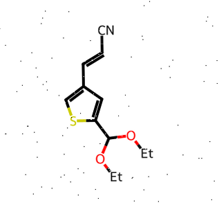 CCOC(OCC)c1cc(/C=C/C#N)cs1